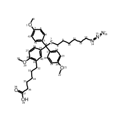 COc1ccc(C(SCCCCCCN=[N+]=[N-])(c2ccc(OC)cc2)c2ccc(OC)c(CCCCCC(=O)O)c2)cc1